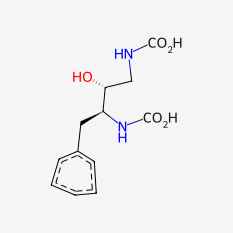 O=C(O)NC[C@@H](O)[C@H](Cc1ccccc1)NC(=O)O